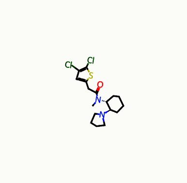 CN(C(=O)Cc1cc(Cl)c(Cl)s1)[C@@H]1CCCC[C@H]1N1CCCC1